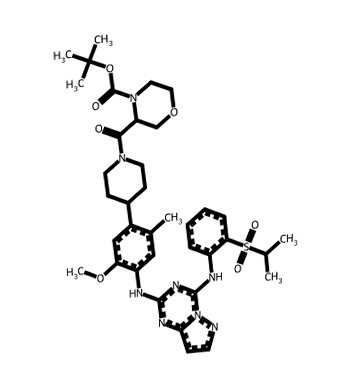 COc1cc(C2CCN(C(=O)C3COCCN3C(=O)OC(C)(C)C)CC2)c(C)cc1Nc1nc(Nc2ccccc2S(=O)(=O)C(C)C)n2nccc2n1